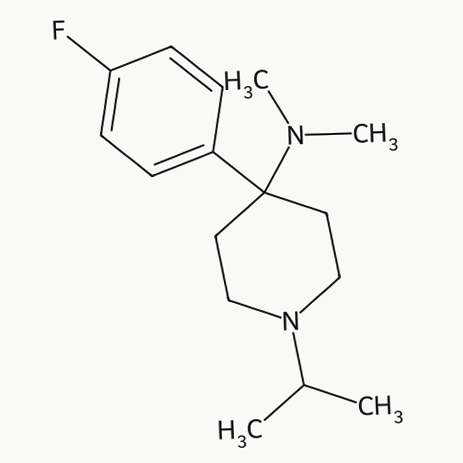 CC(C)N1CCC(c2ccc(F)cc2)(N(C)C)CC1